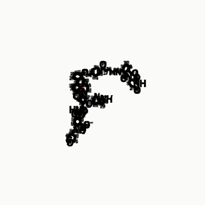 O=C1CCC(N2C(=O)c3cccc(NCCCCC(=O)N4CCC(COc5cccc(-c6ccc(Cl)cc6)c5CN5CCN(c6ccc(C(=O)NS(=O)(=O)c7ccc(NCC8CCOCC8)c([N+](=O)[O-])c7)c(Oc7cnc8[nH]ccc8c7)c6)CC5)CC4)c3C2=O)C(=O)N1